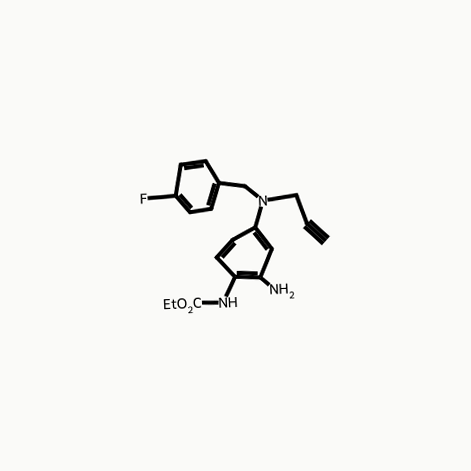 C#CCN(Cc1ccc(F)cc1)c1ccc(NC(=O)OCC)c(N)c1